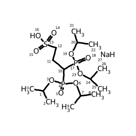 CC(C)OP(=O)(OC(C)C)C(CCS(=O)(=O)O)P(=O)(OC(C)C)OC(C)C.[NaH]